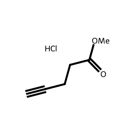 C#CCCC(=O)OC.Cl